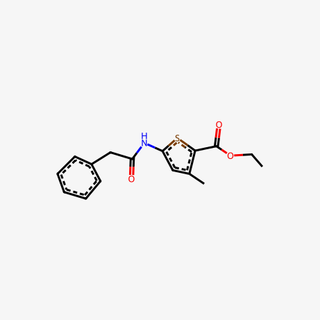 CCOC(=O)c1sc(NC(=O)Cc2ccccc2)cc1C